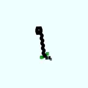 [SiH3]C(Cl)(Cl)CCCCCCCCC1CC2C=CC1C2